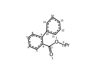 CCCOC(=O)c1ccccc1-c1ccccc1